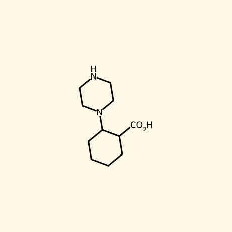 O=C(O)C1CCCCC1N1CCNCC1